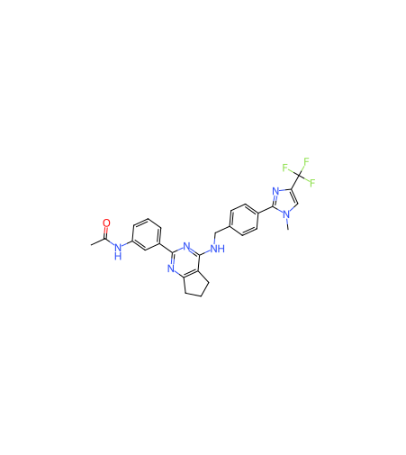 CC(=O)Nc1cccc(-c2nc3c(c(NCc4ccc(-c5nc(C(F)(F)F)cn5C)cc4)n2)CCC3)c1